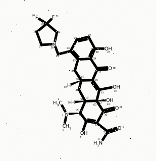 CN(C)[C@@H]1C(O)=C(C(N)=O)C(=O)[C@@]2(O)C(O)=C3C(=O)c4c(O)ccc(CN5CCC(F)(F)C5)c4C[C@H]3C[C@@H]12